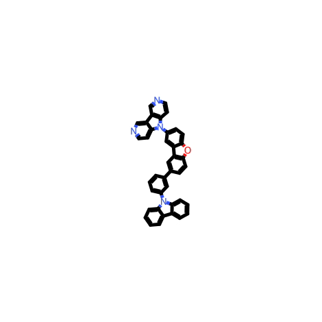 c1cc(-c2ccc3oc4ccc(-n5c6ccncc6c6cnccc65)cc4c3c2)cc(-n2c3ccccc3c3ccccc32)c1